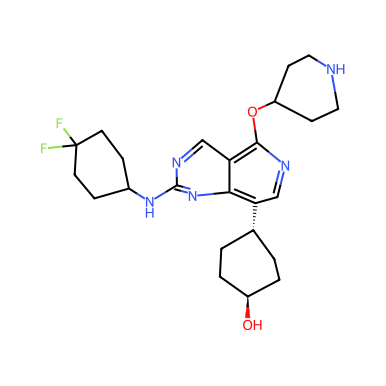 O[C@H]1CC[C@H](c2cnc(OC3CCNCC3)c3cnc(NC4CCC(F)(F)CC4)nc32)CC1